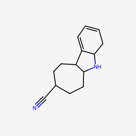 N#CC1CCC2NC3CC=CC=C3C2CC1